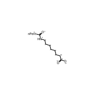 CCCCCC(=O)NCCCCCCCC([O])=O